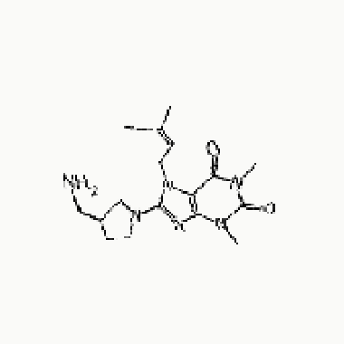 CC(C)=CCn1c(N2CCC(CN)C2)nc2c1c(=O)n(C)c(=O)n2C